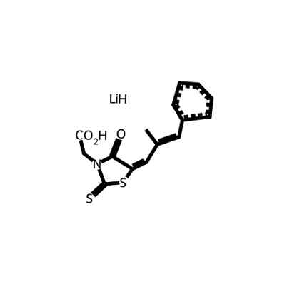 CC(=C\c1ccccc1)/C=C1/SC(=S)N(CC(=O)O)C1=O.[LiH]